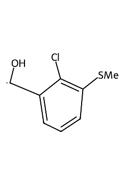 CSc1cccc([CH]O)c1Cl